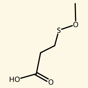 COSCCC(=O)O